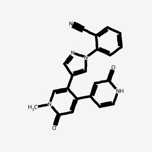 Cn1cc(-c2cnn(-c3ccccc3C#N)c2)c(-c2cc[nH]c(=O)c2)cc1=O